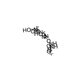 CC(C)(C)c1cc(NC(=O)Nc2ccc(-c3cn4c(n3)sc3nc(OCC5(NCC(O)CO)CC5)ccc34)cc2)no1